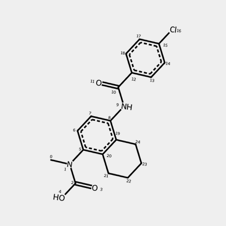 CN(C(=O)O)c1ccc(NC(=O)c2ccc(Cl)cc2)c2c1CCCC2